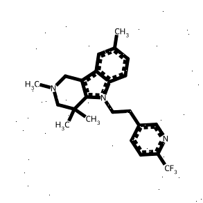 Cc1ccc2c(c1)c1c(n2CCc2ccc(C(F)(F)F)nc2)C(C)(C)CN(C)C1